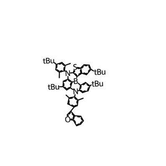 Cc1cc(-c2coc3ccccc23)cc(C)c1N1c2ccc(C(C)(C)C)cc2B2c3c1cc(C(C)(C)C)cc3N(c1c(C)cc(C(C)(C)C)cc1C)c1sc3ccc(C(C)(C)C)cc3c12